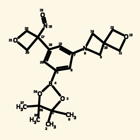 CC1(C)OB(c2cc(N3CC4(COC4)C3)cc(C3(N=O)COC3)c2)OC1(C)C